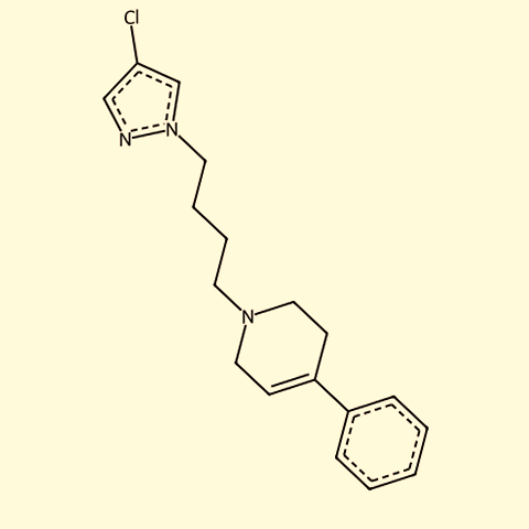 Clc1cnn(CCCCN2CC=C(c3ccccc3)CC2)c1